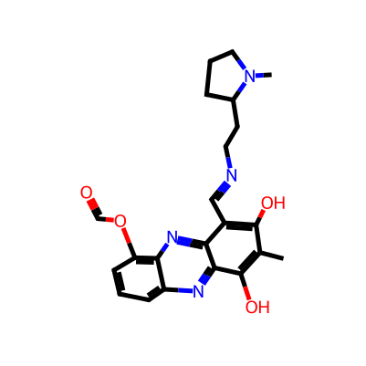 Cc1c(O)c(C=NCCC2CCCN2C)c2nc3c(OC=O)cccc3nc2c1O